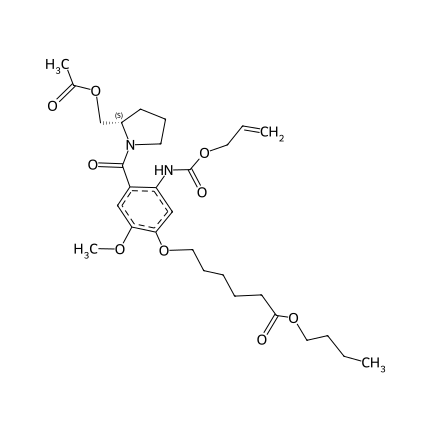 C=CCOC(=O)Nc1cc(OCCCCCC(=O)OCCCC)c(OC)cc1C(=O)N1CCC[C@H]1COC(C)=O